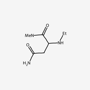 CCNC(CC(N)=O)C(=O)NC